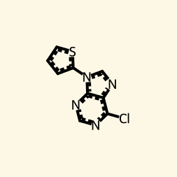 Clc1ncnc2c1ncn2-c1cccs1